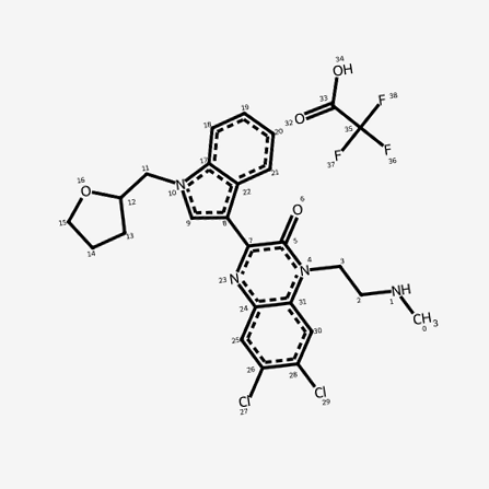 CNCCn1c(=O)c(-c2cn(CC3CCCO3)c3ccccc23)nc2cc(Cl)c(Cl)cc21.O=C(O)C(F)(F)F